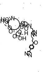 CC[C@H]1OC(=O)[C@H](C)C([C@H]2C[C@@](C)(OC)[C@@H](O)[C@H](C)O2)[C@H](C)[C@@H](O[C@@H]2O[C@H](C)C[C@H](N(C)CCc3cn(CCCC(=O)c4ccc(-c5cncnc5)cc4)nn3)[C@H]2O)[C@](C)(O)C[C@@H](C)CN(C)[C@H](C)[C@@H](O)[C@]1(C)O